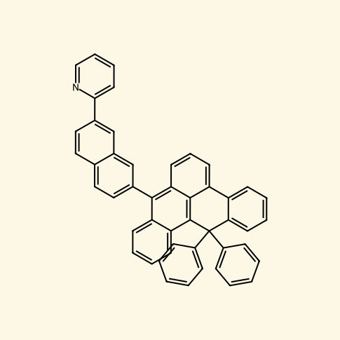 c1ccc(C2(c3ccccc3)c3ccccc3-c3cccc4c(-c5ccc6ccc(-c7ccccn7)cc6c5)c5ccccc5c2c34)cc1